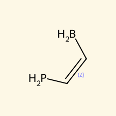 B/C=C\P